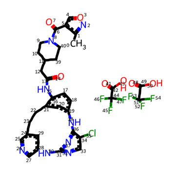 Cc1nocc1C(=O)N1CCC(CC(=O)Nc2ccc3cc2CCc2cncc(c2)Nc2ncc(Cl)c(n2)N3)CC1.O=C(O)C(F)(F)F.O=C(O)C(F)(F)F